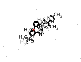 COc1cccc(OC)c1-n1c(NSC(C)C(OC)c2ncc(C)cn2)nnc1-c1cccc([S+]([O-])N(C)C)c1